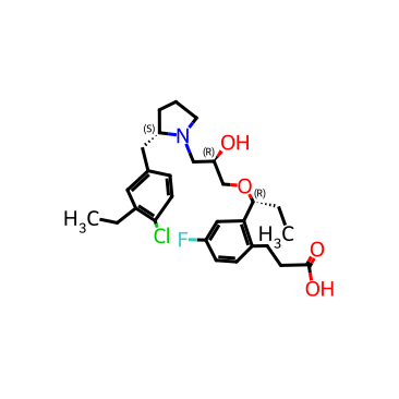 CCc1cc(C[C@@H]2CCCN2C[C@@H](O)CO[C@H](CC)c2cc(F)ccc2CCC(=O)O)ccc1Cl